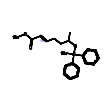 CC(CC/C=C/C(=O)OC(C)(C)C)O[Si](c1ccccc1)(c1ccccc1)C(C)(C)C